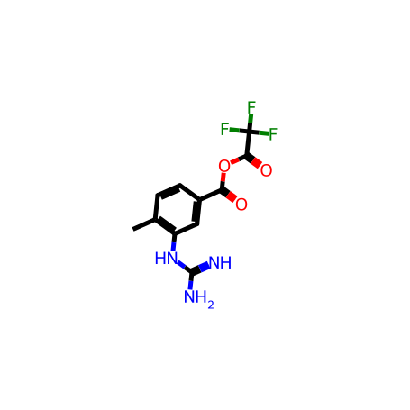 Cc1ccc(C(=O)OC(=O)C(F)(F)F)cc1NC(=N)N